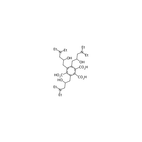 CCN(CC)CC(O)Cc1c(CC(O)CN(CC)CC)c(C(=O)O)c(C(=O)O)c(CC(O)CN(CC)CC)c1C(=O)O